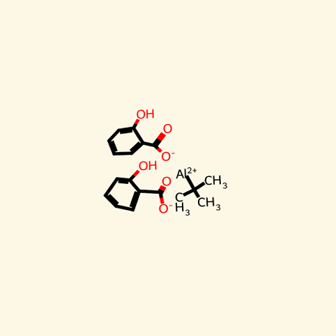 C[C](C)(C)[Al+2].O=C([O-])c1ccccc1O.O=C([O-])c1ccccc1O